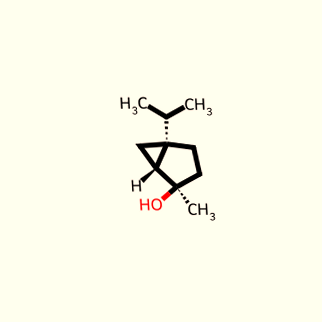 CC(C)[C@]12CC[C@@](C)(O)[C@@H]1C2